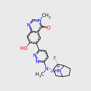 CN(c1ccc(-c2cc3c(=O)n(C)cnc3cc2O)nn1)[C@H]1CC2CCC(N2)[C@H]1F